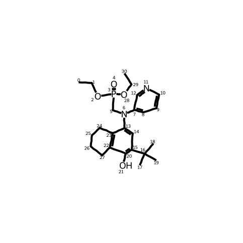 CCOP(=O)(CN(c1cccnc1)c1cc(C(C)(C)C)c(O)c2c1CCCC2)OCC